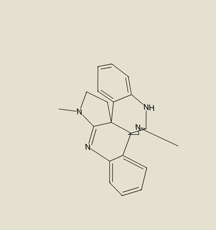 CN1CCC23C1=Nc1ccccc1C21CCN(C)C1Nc1ccccc13